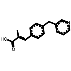 C/C(=C\c1ccc(Cc2cccnc2)cc1)C(=O)O